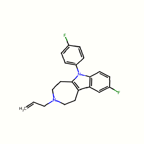 C=CCN1CCc2c(n(-c3ccc(F)cc3)c3ccc(F)cc23)CC1